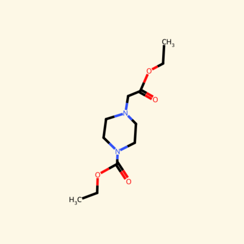 CCOC(=O)CN1CCN(C(=O)OCC)CC1